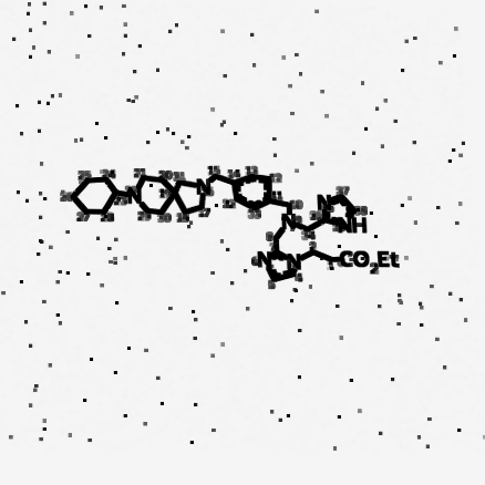 CCOC(=O)CCn1ccnc1CN(Cc1ccc(CN2CCC3(CCN(C4CCCCC4)CC3)C2)cc1)Cc1ncc[nH]1